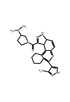 CN(C)C1CCN(C(=O)C2=NNC3C=Cc4nc(-c5c[nH]nc5C(F)(F)F)c5c(c4C23)CCCC5)C1